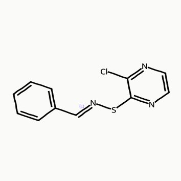 Clc1nccnc1S/N=C/c1ccccc1